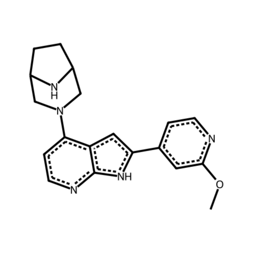 COc1cc(-c2cc3c(N4CC5CCC(C4)N5)ccnc3[nH]2)ccn1